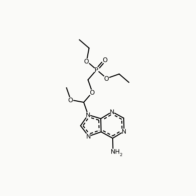 CCOP(=O)(COC(OC)n1cnc2c(N)ncnc21)OCC